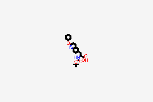 CC(C)(C)OC(=O)NC(=Cc1ccc2nc(Oc3ccccc3)ccc2c1)C(=O)O